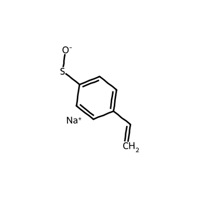 C=Cc1ccc(S[O-])cc1.[Na+]